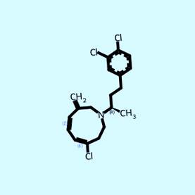 C=C1/C=C\C=C(\Cl)CCN([C@H](C)CCc2ccc(Cl)c(Cl)c2)C1